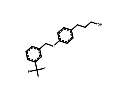 OCCCc1ccc(OCc2cccc(C(F)(F)F)c2)cc1